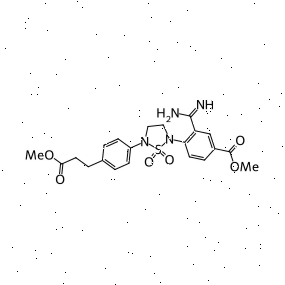 COC(=O)CCc1ccc(N2CCN(c3ccc(C(=O)OC)cc3C(=N)N)S2(=O)=O)cc1